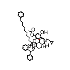 CC(=O)Oc1cc(O)c2c3c1O[C@H]1[C@H](N(CC(c4ccccc4)c4ccccc4)C(=O)CCCCCCCCCCc4ccccc4)CC[C@H]4[C@@H](C2)N(CC2CC2)CC[C@@]341